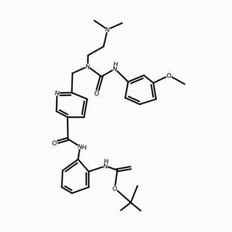 C=C(Nc1ccccc1NC(=O)c1ccc(CN(CCN(C)C)C(=O)Nc2cccc(OC)c2)nc1)OC(C)(C)C